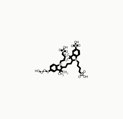 CC1(C)C(CCCC2N(CCCCS(=O)(=O)O)c3ccc(S(=O)(=O)O)cc3C2(C)C)=[N+](CCCCS(=O)(=O)O)c2ccc(SOOO)cc21